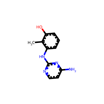 Cc1c(O)cccc1Nc1nccc(N)n1